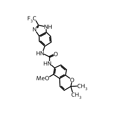 COc1c(NC(=O)Nc2ccc3[nH]c(C(F)(F)F)nc3c2)ccc2c1C=CC(C)(C)O2